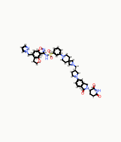 O=C1CC[C@H](N2Cc3cc(N4CC[C@@H](CN5CC6(CCN(c7cccc(S(=O)(=O)Nc8noc9cc(Cn%10cccn%10)c%10c(c89)OCC%10)c7)CC6)C5)C4)ccc3C2=O)C(=O)N1